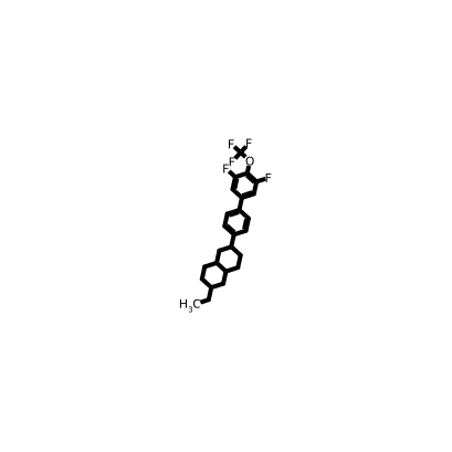 CCC1CCC2CC(c3ccc(-c4cc(F)c(OC(F)(F)F)c(F)c4)cc3)CCC2C1